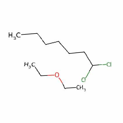 CCCCCCC(Cl)Cl.CCOCC